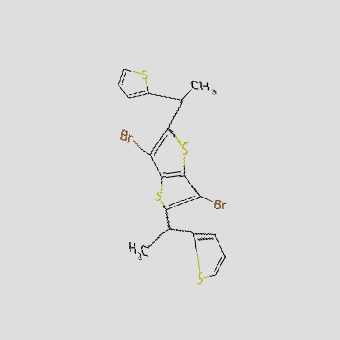 CC(c1cccs1)c1sc2c(Br)c(C(C)c3cccs3)sc2c1Br